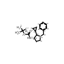 CC(C)(C)OC(=O)N[C@H]1CCN(Cc2ccccc2)C1C1CC1